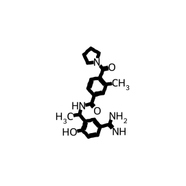 Cc1cc(C(=O)NC(C)c2cc(C(=N)N)ccc2O)ccc1C(=O)N1CCCC1